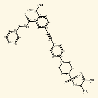 CC(NS(=O)(=O)N1CCN(c2ccc(C#Cc3ccc(C(=O)O)c(C(=O)NCc4ccccc4)c3)cc2)CC1)C(=O)O